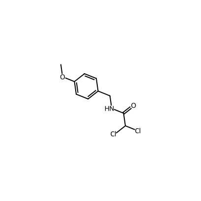 COc1ccc(CNC(=O)C(Cl)Cl)cc1